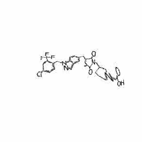 O=C(O)N1CCC[C@@H](CN2C(=O)SC(=Cc3ccc4c(cnn4Cc4ccc(Cl)cc4C(F)(F)F)c3)C2=O)C1